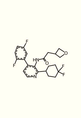 O=C(CC1COC1)Nc1c(-c2cc(F)ccc2F)ccnc1C1CCC(F)(F)CC1